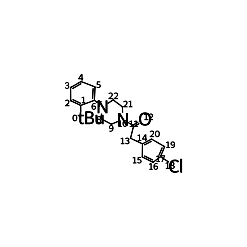 CC(C)(C)c1ccccc1N1CCN(C(=O)Cc2ccc(Cl)cc2)CC1